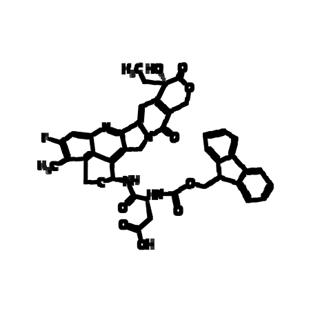 CC[C@@]1(O)C(=O)OCc2c1cc1n(c2=O)Cc2c-1nc1cc(F)c(C)c3c1c2[C@@H](NC(=O)[C@H](CC(=O)O)NC(=O)OCC1c2ccccc2-c2ccccc21)CC3